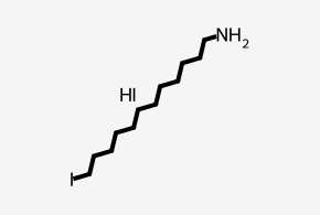 I.NCCCCCCCCCCCCI